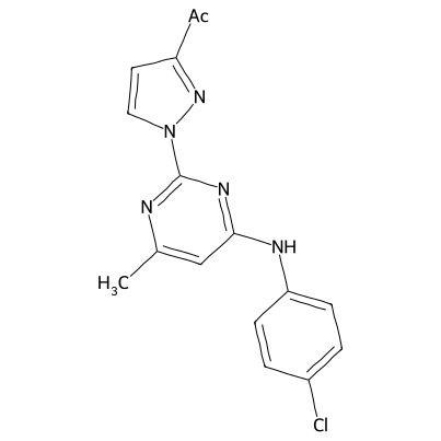 CC(=O)c1ccn(-c2nc(C)cc(Nc3ccc(Cl)cc3)n2)n1